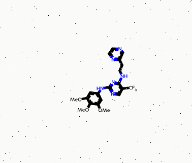 COc1cc(Nc2ncc(C(F)(F)F)c(NCCc3cnccn3)n2)cc(OC)c1OC